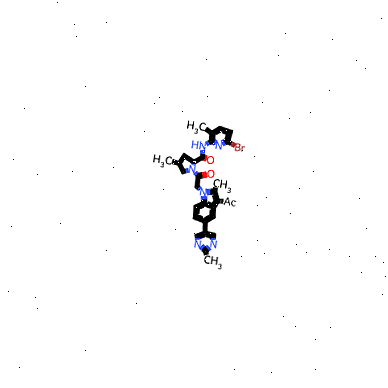 CC(=O)c1c(C)n(CC(=O)N2CC(C)CC2C(=O)Nc2nc(Br)ccc2C)c2ccc(-c3cnc(C)nc3)cc12